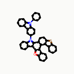 c1ccc(-n2c3ccccc3c3cc(-n4c5ccccc5c5c6oc7ccccc7c6c6c(ccc7sc8ccccc8c76)c54)ccc32)cc1